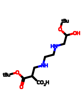 CC(C)(C)OC(=O)C(CNCCNCC(O)OC(C)(C)C)C(=O)O